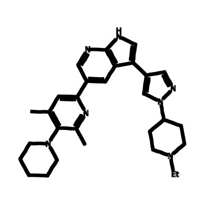 CCN1CCC(n2cc(-c3c[nH]c4ncc(-c5cc(C)c(N6CCCCC6)c(C)n5)cc34)cn2)CC1